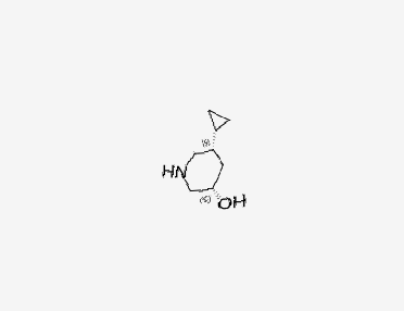 O[C@@H]1CNC[C@H](C2CC2)C1